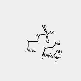 CCCCCCCCCCCCOS(=O)(=O)[O-].CCCCCCCCCCC[CH2][Na].O=S(=O)(O)O.[Na+]